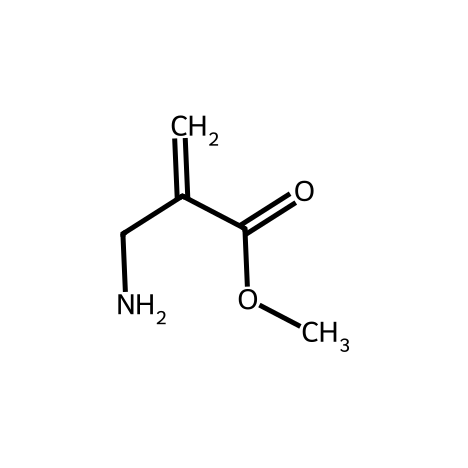 C=C(CN)C(=O)OC